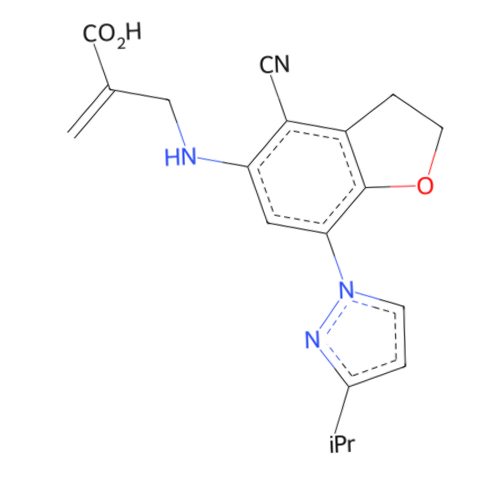 C=C(CNc1cc(-n2ccc(C(C)C)n2)c2c(c1C#N)CCO2)C(=O)O